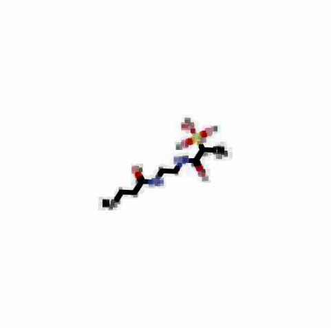 CCCC(=O)NCCNC(=O)C(C)S(=O)(=O)O